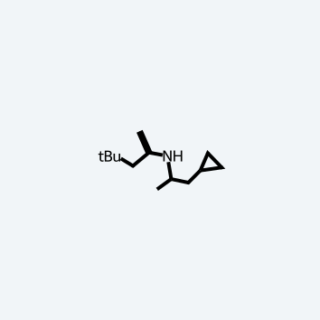 C=C(CC(C)(C)C)NC(C)CC1CC1